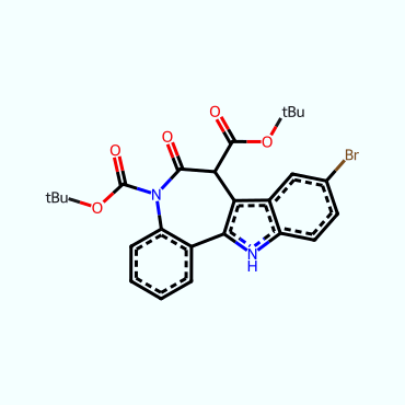 CC(C)(C)OC(=O)C1C(=O)N(C(=O)OC(C)(C)C)c2ccccc2-c2[nH]c3ccc(Br)cc3c21